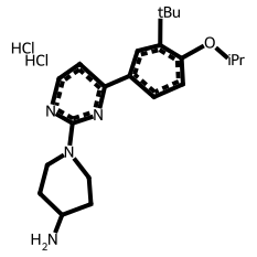 CC(C)Oc1ccc(-c2ccnc(N3CCC(N)CC3)n2)cc1C(C)(C)C.Cl.Cl